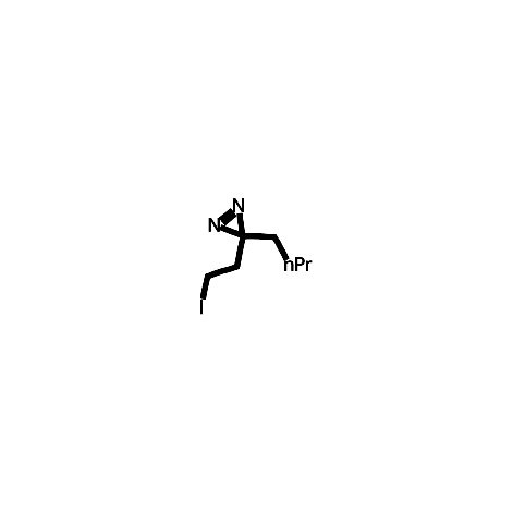 CCCCC1(CCI)N=N1